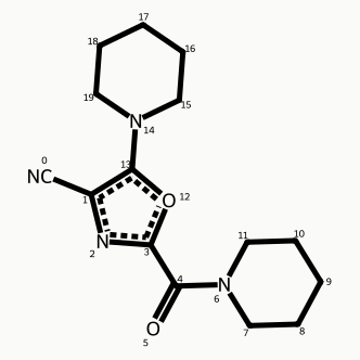 N#Cc1nc(C(=O)N2CCCCC2)oc1N1CCCCC1